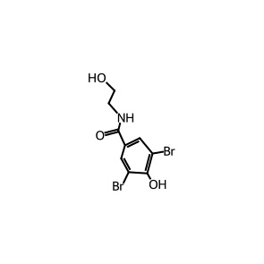 O=C(NCCO)c1cc(Br)c(O)c(Br)c1